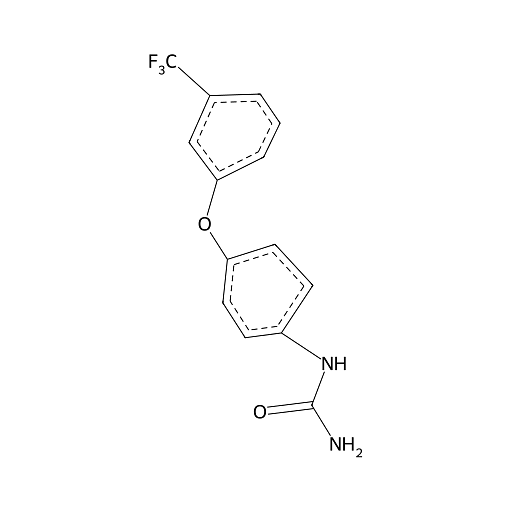 NC(=O)Nc1ccc(Oc2cccc(C(F)(F)F)c2)cc1